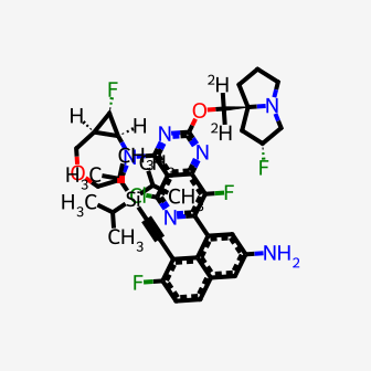 [2H]C([2H])(Oc1nc(N2CCOC[C@H]3[C@H](F)[C@H]32)c2c(Cl)nc(-c3cc(N)cc4ccc(F)c(C#C[Si](C(C)C)(C(C)C)C(C)C)c34)c(F)c2n1)[C@@]12CCCN1C[C@H](F)C2